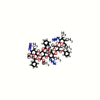 CCC1O[C@H](O[C@@H]2C(C)O[C@@H](O[C@@H]3C(CC)O[C@H](O[C@@H]4C(C(=O)OC)O[C@@H](O[C@@H]5C(COC(=O)c6ccccc6)O[C@H](OC)C(N=[N+]=[N-])[C@H]5C)C(OC(=O)c5ccccc5)[C@H]4C)C(N=[N+]=[N-])[C@H]3C)C(OCc3ccccc3)[C@H]2C)C(N=[N+]=[N-])[C@@H](C)[C@@H]1C